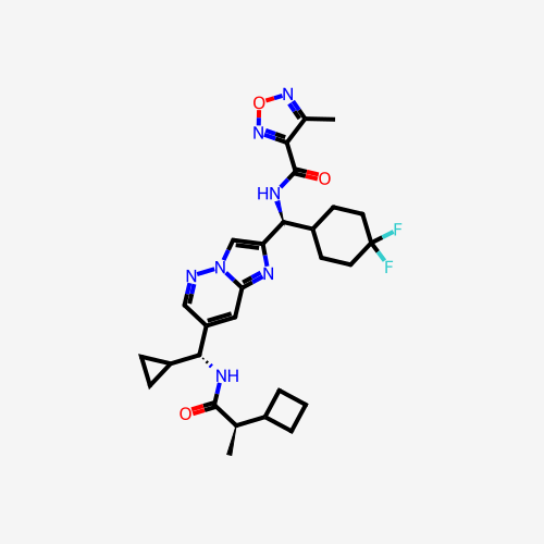 Cc1nonc1C(=O)N[C@H](c1cn2ncc([C@H](NC(=O)[C@H](C)C3CCC3)C3CC3)cc2n1)C1CCC(F)(F)CC1